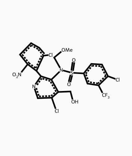 COCN(c1c(-c2c(Cl)cccc2[N+](=O)[O-])ncc(Cl)c1CO)S(=O)(=O)c1ccc(Cl)c(C(F)(F)F)c1